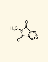 CN1C(=O)c2cscc2C1=O